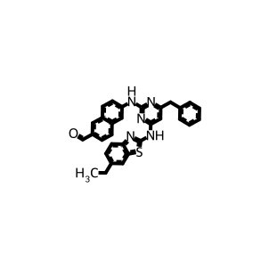 CCc1ccc2nc(Nc3cc(Cc4ccccc4)nc(Nc4ccc5cc(C=O)ccc5c4)n3)sc2c1